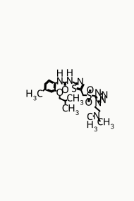 Cc1ccc(NC(=O)Nc2ncc(CS(=O)(=O)c3nnnn3CCN(C)C)s2)c(OCC(C)C)c1